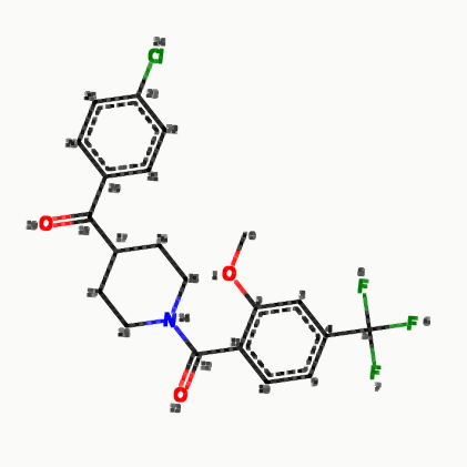 COc1cc(C(F)(F)F)ccc1C(=O)N1CCC(C(=O)c2ccc(Cl)cc2)CC1